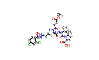 COC(=O)CCC(=O)N[C@@H](CCCCNC(=O)c1ccc(Cl)cc1Cl)C(=O)N[C@H](C(=O)N1CCC[C@H]1C(=O)O)C(C)C